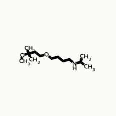 COC(C)(C)CCOCCCCNC(C)C